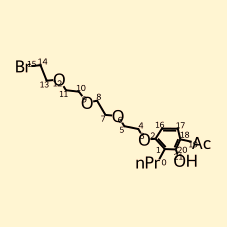 CCCc1c(OCCOCCOCCOCCBr)ccc(C(C)=O)c1O